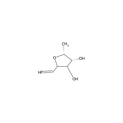 C[C@H]1OC(C=P)C(O)[C@H]1O